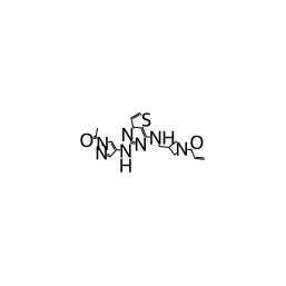 C=CC(=O)N1CC(CNc2nc(Nc3cnn(C(C)=O)c3)nc3ccsc23)C1